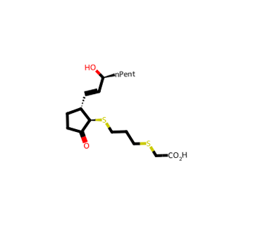 CCCCC[C@H](O)C=C[C@H]1CCC(=O)[C@@H]1SCCCSCC(=O)O